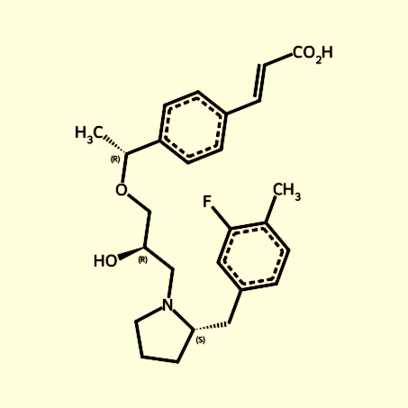 Cc1ccc(C[C@@H]2CCCN2C[C@@H](O)CO[C@H](C)c2ccc(C=CC(=O)O)cc2)cc1F